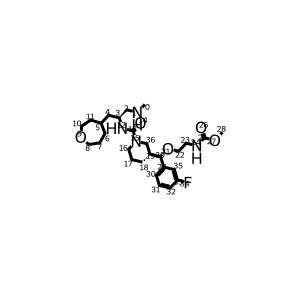 CNC[C@H](CC1CCCOCC1)NC(=O)N1CCC[C@@H]([C@@H](OCCNC(=O)OC)c2cccc(F)c2)C1